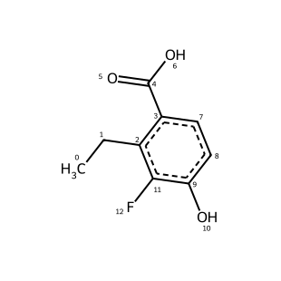 CCc1c(C(=O)O)ccc(O)c1F